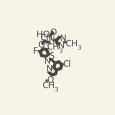 CCOc1cnc2c(-c3nc4cc(F)c(O[C@@H](C)[C@@H](C)N(C(=O)O)c5cnc(C)nc5)cc4s3)cc(Cl)cc2c1